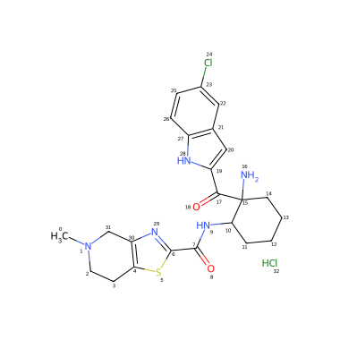 CN1CCc2sc(C(=O)NC3CCCCC3(N)C(=O)c3cc4cc(Cl)ccc4[nH]3)nc2C1.Cl